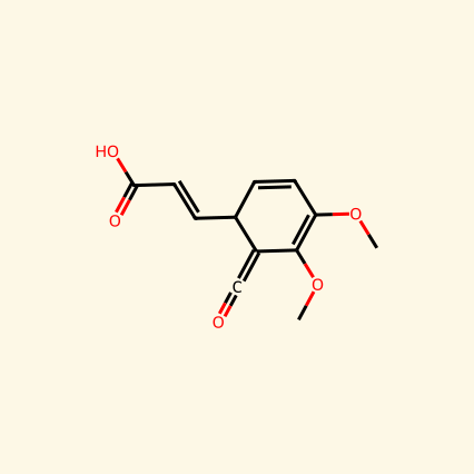 COC1=C(OC)C(=C=O)C(C=CC(=O)O)C=C1